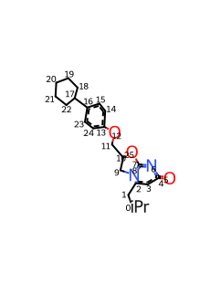 CC(C)Cc1cc(=O)nc2n1CC(COc1ccc(C3CCCCC3)cc1)O2